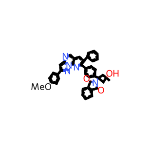 COc1ccc(-c2cc3ncc4cc(-c5ccccc5)c(-c5ccc(C6(N7C(=O)c8ccccc8C7=O)CC(C)(O)C6)cc5)nc4n3n2)cc1